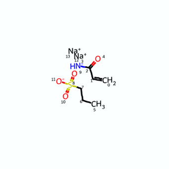 C=CC([NH-])=O.CCCS(=O)(=O)[O-].[Na+].[Na+]